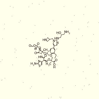 CC1(C)[C@H](NC(=O)/C(=N\O[C@](C)(C(=O)O)[C@H]2CCc3cc(-c4cnc(NC[C@H](O)CN)[n+](CC5CNC5)c4)ccc3O2)c2csc(N)n2)C(=O)N1OS(=O)(=O)OC=O